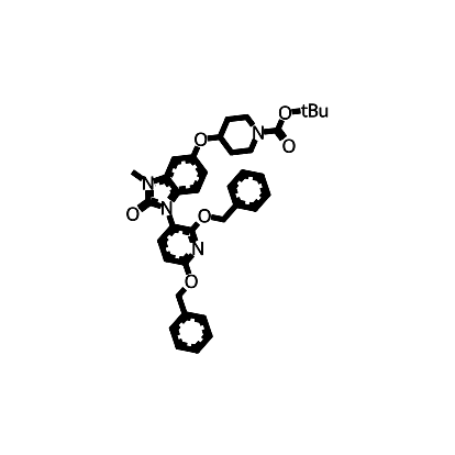 Cn1c(=O)n(-c2ccc(OCc3ccccc3)nc2OCc2ccccc2)c2ccc(OC3CCN(C(=O)OC(C)(C)C)CC3)cc21